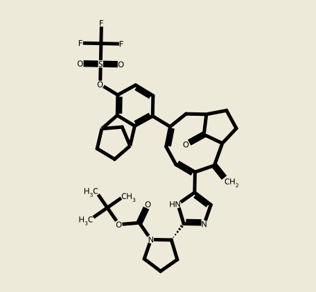 C=C1/C(c2cnc([C@@H]3CCCN3C(=O)OC(C)(C)C)[nH]2)=C\C=C(\c2ccc(OS(=O)(=O)C(F)(F)F)c3c2C2CCC3C2)CC2CCC1C2=O